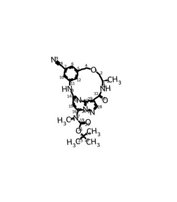 C[C@@H]1COCc2cc(C#N)cc(c2)Nc2cc(N(C)C(=O)OC(C)(C)C)n3ncc(c3n2)C(=O)N1